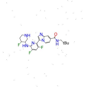 CC(C)(C)CNC(=O)c1ccn2c(-c3nc(NC4CNCCC4F)c(F)cc3F)cnc2c1